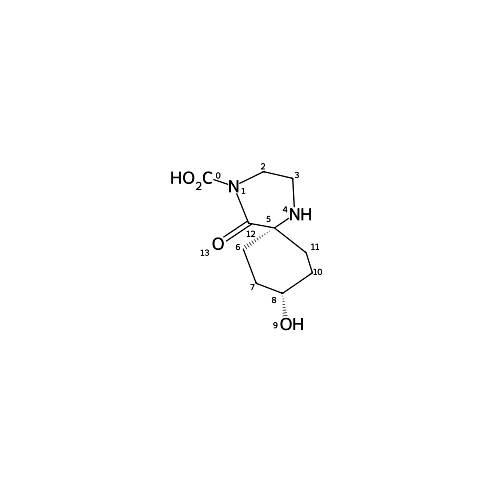 O=C(O)N1CCN[C@]2(CC[C@@H](O)CC2)C1=O